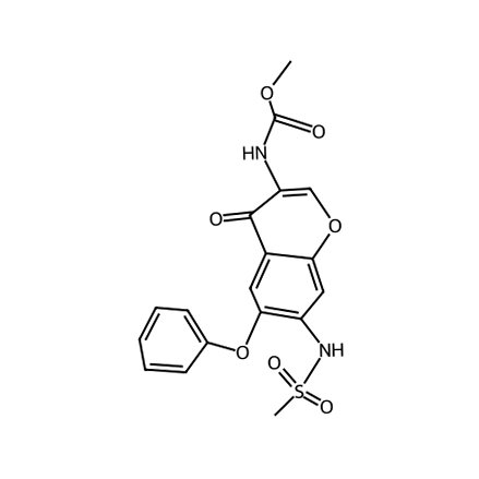 COC(=O)Nc1coc2cc(NS(C)(=O)=O)c(Oc3ccccc3)cc2c1=O